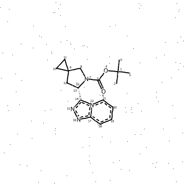 CC(C)(C)OC(=O)N1CC2(CC2)C[C@H]1c1nnc2ccccn12